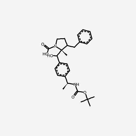 C[C@H](NC(=O)OC(C)(C)C)c1ccc(C(O)[C@@]2(C)C(Cc3ccccc3)CCN2C(=O)O)cc1